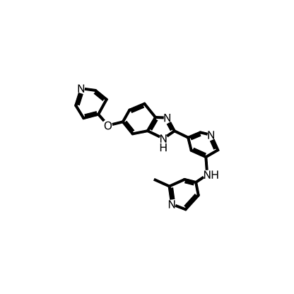 Cc1cc(Nc2cncc(-c3nc4ccc(Oc5ccncc5)cc4[nH]3)c2)ccn1